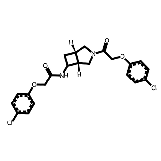 O=C(COc1ccc(Cl)cc1)NC1C[C@@H]2CN(C(=O)COc3ccc(Cl)cc3)C[C@H]12